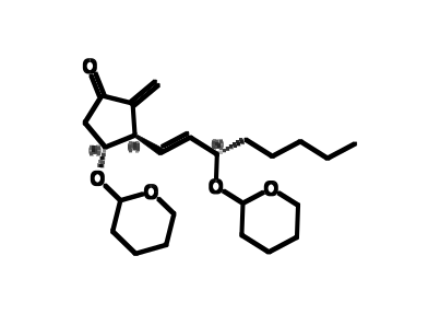 C=C1C(=O)C[C@@H](OC2CCCCO2)[C@@H]1C=C[C@H](CCCCC)OC1CCCCO1